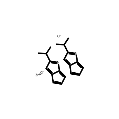 CC(C)C1=NC2=CC=CC2=C1.CC(C)C1=NC2=CC=CC2=C1.[Cl-].[Cl-].[Zr+2]